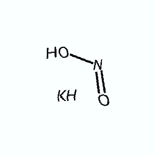 O=NO.[KH]